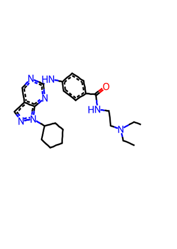 CCN(CC)CCNC(=O)c1ccc(Nc2ncc3cnn(C4CCCCC4)c3n2)cc1